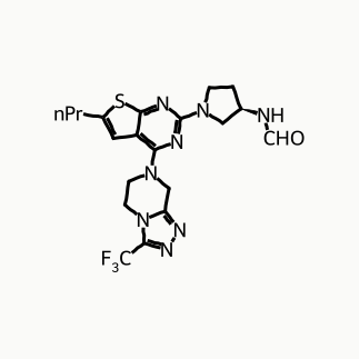 CCCc1cc2c(N3CCn4c(nnc4C(F)(F)F)C3)nc(N3CC[C@@H](NC=O)C3)nc2s1